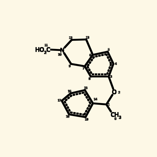 CC(Oc1ccc2c(c1)CN(C(=O)O)CC2)c1ccccc1